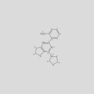 Oc1ccccc1-c1nc2c(c(N3CCCC3)n1)CCC2